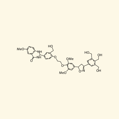 COc1ccc2c(c1)C(=O)NC(c1ccc(OCCOc3c(OC)cc(C4CC(c5cc(CO)c(CO)c(CO)c5)=NO4)cc3OC)c(CO)c1)N2